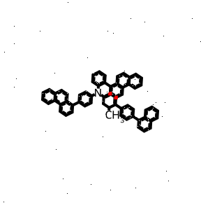 CC1CC(N(c2ccc(-c3cccc4c3ccc3ccccc34)cc2)c2ccccc2-c2cccc3c2ccc2ccccc23)=CC=C1c1ccc(-c2cccc3ccccc23)cc1